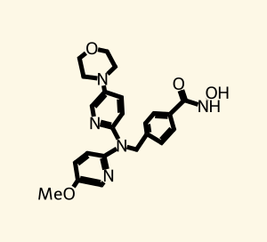 COc1ccc(N(Cc2ccc(C(=O)NO)cc2)c2ccc(N3CCOCC3)cn2)nc1